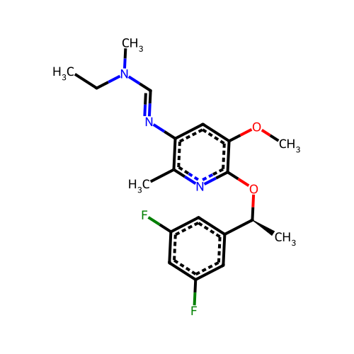 CCN(C)/C=N/c1cc(OC)c(O[C@@H](C)c2cc(F)cc(F)c2)nc1C